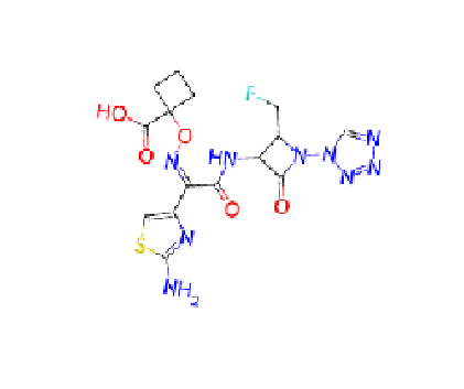 Nc1nc(C(=NOC2(C(=O)O)CCC2)C(=O)NC2C(=O)N(n3cnnn3)C2CF)cs1